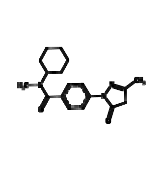 CC1=NN(c2ccc(C(=O)N(C)C3CCCCC3)cc2)C(=O)C1